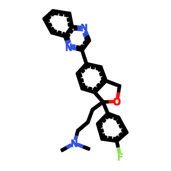 CN(C)CCCC1(c2ccc(F)cc2)OCc2cc(-c3cnc4ccccc4n3)ccc21